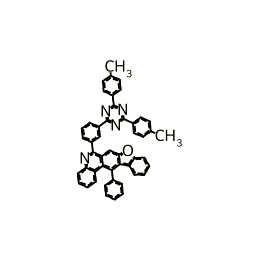 Cc1ccc(-c2nc(-c3ccc(C)cc3)nc(-c3cccc(-c4nc5ccccc5c5c(-c6ccccc6)c6c(cc45)oc4ccccc46)c3)n2)cc1